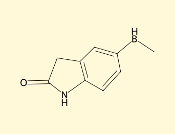 CBc1ccc2c(c1)CC(=O)N2